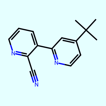 CC(C)(C)c1ccnc(-c2cccnc2C#N)c1